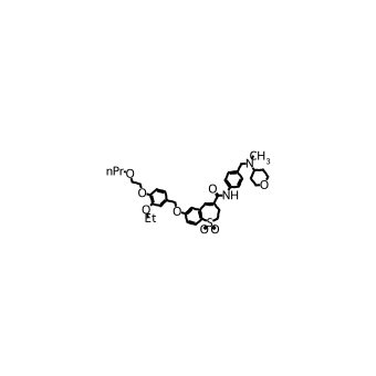 CCCOCCOc1ccc(COc2ccc3c(c2)C=C(C(=O)Nc2ccc(CN(C)C4CCOCC4)cc2)CCS3(=O)=O)cc1OCC